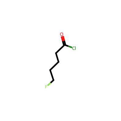 O=C(Cl)CCCCF